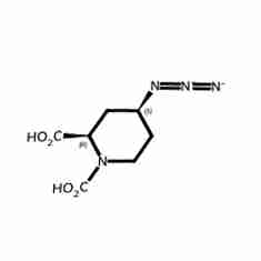 [N-]=[N+]=N[C@H]1CCN(C(=O)O)[C@@H](C(=O)O)C1